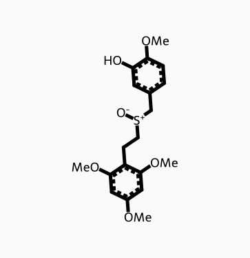 COc1cc(OC)c(CC[S+]([O-])Cc2ccc(OC)c(O)c2)c(OC)c1